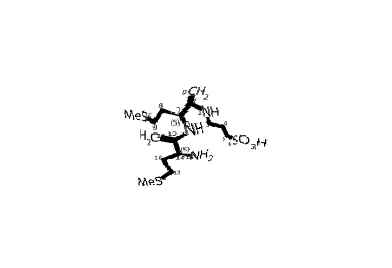 C=C(NCCCS(=O)(=O)O)[C@H](CCSC)NC(=C)[C@@H](N)CCSC